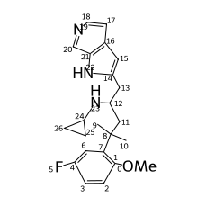 COc1ccc(F)cc1C(C)(C)CC(Cc1cc2ccncc2[nH]1)NC1CC1